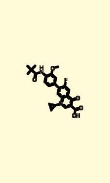 COc1cc(-c2cc3c(cc2F)c(=O)c(C(=O)O)cn3C2CC2)ccc1NC(=O)C(C)(C)C